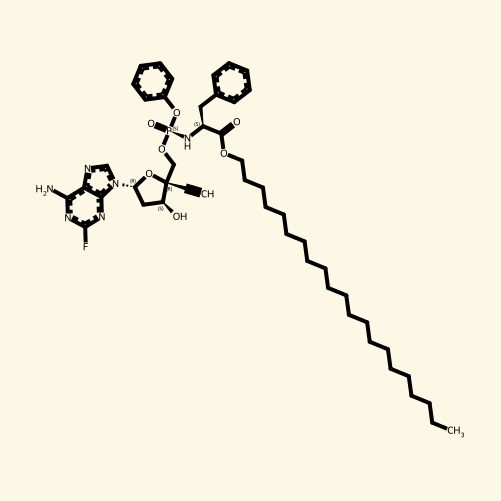 C#C[C@]1(CO[P@@](=O)(N[C@@H](Cc2ccccc2)C(=O)OCCCCCCCCCCCCCCCCCCCCC)Oc2ccccc2)O[C@@H](n2cnc3c(N)nc(F)nc32)C[C@@H]1O